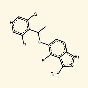 CC(Oc1ccc2[nH]nc(C=O)c2c1F)c1c(Cl)cncc1Cl